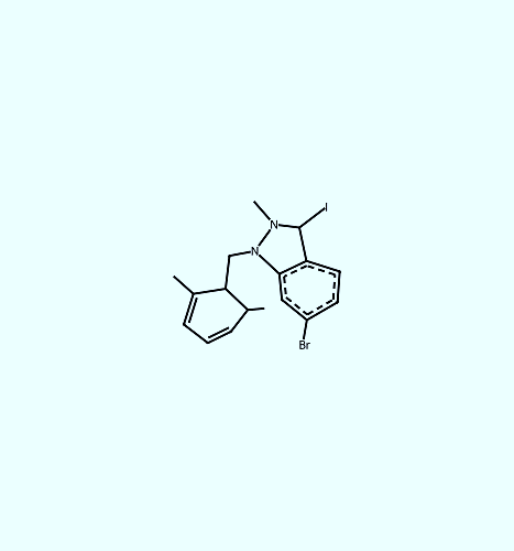 CC1=CC=CC(C)C1CN1c2cc(Br)ccc2C(I)N1C